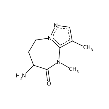 Cc1cnn2c1N(C)C(=O)C(N)CC2